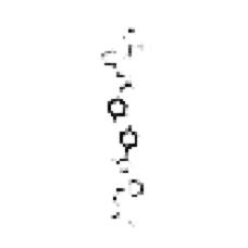 COC(=O)N[C@H](C(=O)N1CCC[C@H]1c1nc(F)c(-c2ccc3c(c2)Oc2ccc(-c4[nH]c([C@@H]5CCCN5C(=O)[C@@H](NC(=O)OC)C(C)C)nc4F)cc2O3)[nH]1)C(C)C